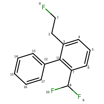 FCCc1cc[c]c(C(F)F)c1-c1ccccc1